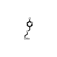 COCCOCc1ccc(Cl)nc1